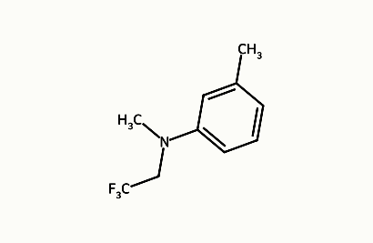 Cc1cccc(N(C)CC(F)(F)F)c1